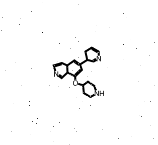 C1=CN=CC(C2=CC3C=CN=CC3C(OC3CCNCC3)=C2)C1